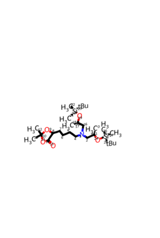 C[C@H](CN(CCCCC1OC(C)(C)OC1=O)C[C@@H](C)O[Si](C)(C)C(C)(C)C)O[Si](C)(C)C(C)(C)C